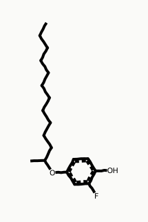 CCCCCCCCCCCC(C)Oc1ccc(O)c(F)c1